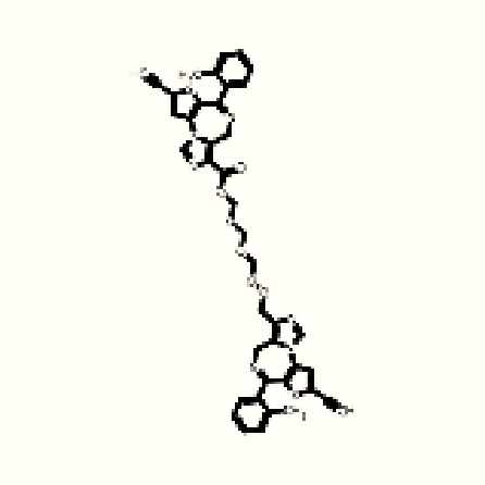 C#Cc1cc2c(s1)C(c1ccccc1C)=NCc1c(COOCOCOCOC(=O)c3ncn4c3CN=C(c3ccccc3C)c3sc(C#C)cc3-4)ncn1-2